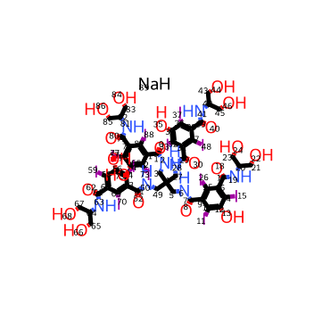 O=C(NCC(CNC(=O)c1c(I)c(O)c(I)c(C(=O)NC(CO)CO)c1I)(CNC(=O)c1c(I)c(O)c(I)c(C(=O)NC(CO)CO)c1I)CNC(=O)c1c(I)c(O)c(I)c(C(=O)NC(CO)CO)c1I)c1c(I)c(O)c(I)c(C(=O)NC(CO)CO)c1I.[NaH]